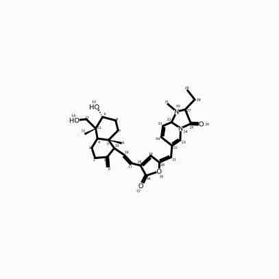 C=C1CCC2[C@](C)(CC[C@@H](O)[C@@]2(C)CO)C1/C=C/C1=CC(=C\C2=CN3C(=O)C(CC)N(C)C3C=C2)/OC1=O